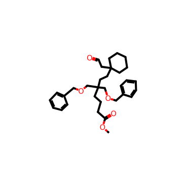 COC(=O)CCCC(CCC1(CC=O)CCCCC1)(COCc1ccccc1)COCc1ccccc1